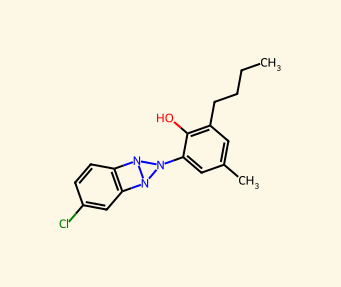 CCCCc1cc(C)cc(-n2n3c4ccc(Cl)cc4n23)c1O